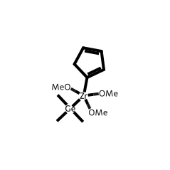 C[O][Zr]([O]C)([O]C)([C]1=CC=CC1)[Ge]([CH3])([CH3])[CH3]